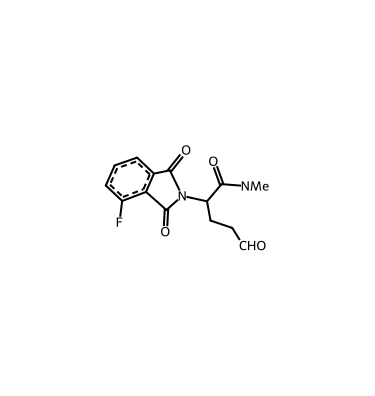 CNC(=O)C(CCC=O)N1C(=O)c2cccc(F)c2C1=O